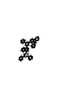 CC1(c2ccccc2)c2ccccc2-c2ccc(-c3cc(-c4ccccc4)cc(-c4ccc(-c5cc(-c6ccccc6)nc(-c6ccccc6)n5)c5ccccc45)c3)cc21